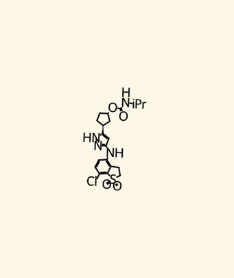 CC(C)NC(=O)O[C@@H]1CC[C@H](c2cc(Nc3ccc(Cl)c4c3CCS4(=O)=O)n[nH]2)C1